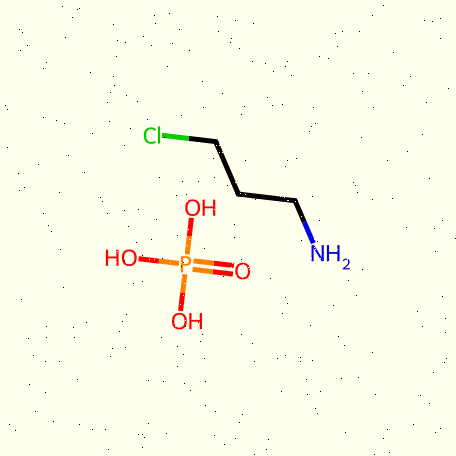 NCCCCl.O=P(O)(O)O